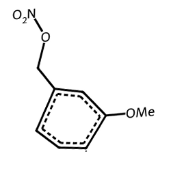 COc1[c]ccc(CO[N+](=O)[O-])c1